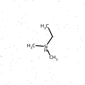 C[CH][SiH](C)C